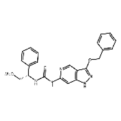 COC[C@@H](NC(=O)Nc1cc2[nH]nc(OCc3ccccc3)c2cn1)c1ccccc1